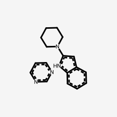 c1ccc2[nH]c(N3CCCCC3)cc2c1.c1cncnc1